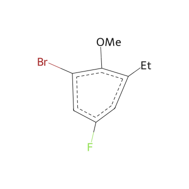 CCc1cc(F)cc(Br)c1OC